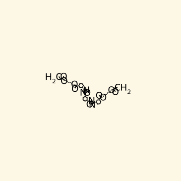 C=CC(=O)OCCCCOC(=O)c1cccc(-c2noc(-c3cccc(-c4nc(-c5cccc(C(=O)OCCCCOC(=O)C=C)c5)no4)c3)n2)c1